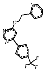 FC(F)(F)c1ccc(-c2cc(OCCc3ccccn3)ncn2)cc1